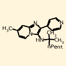 CCCCCC(C)(C)Nc1c(-c2ccncc2)nc2cc(C)ccn12